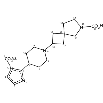 CCOC(=O)n1ccnc1C1CCN(C2CC3(CCN(C(=O)O)C3)C2)CC1